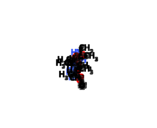 C=CCNC(=O)C(=O)C(CCCC)NC(=O)[C@@H]1[C@@H]2[C@H](CN1C(=O)[C@@H](NC(=O)N[C@@H](CNC(=O)OCc1ccccc1)C(C)C)C(C)(C)C)C2(C)C